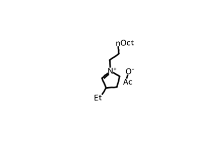 CC(=O)[O-].CCCCCCCCCC[N+]1=CC(CC)CC1